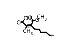 COC(=O)/C(CCCCCF)=C(/C)C(C)=O